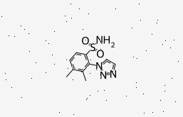 Cc1ccc(S(N)(=O)=O)c(-n2ccnn2)c1C